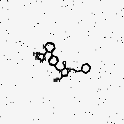 CCCc1cn(CCC2CCCCC2)c(=O)n1Cc1ccc(-c2cccnc2-c2nnn[nH]2)cc1